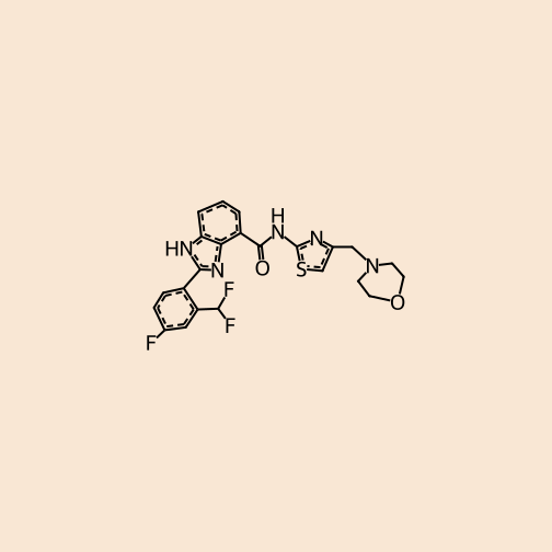 O=C(Nc1nc(CN2CCOCC2)cs1)c1cccc2[nH]c(-c3ccc(F)cc3C(F)F)nc12